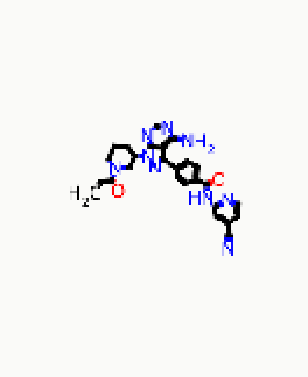 C=CC(=O)N1CCCC(n2nc(-c3ccc(C(=O)Nc4cc(C#N)ccn4)cc3)c3c(N)ncnc32)C1